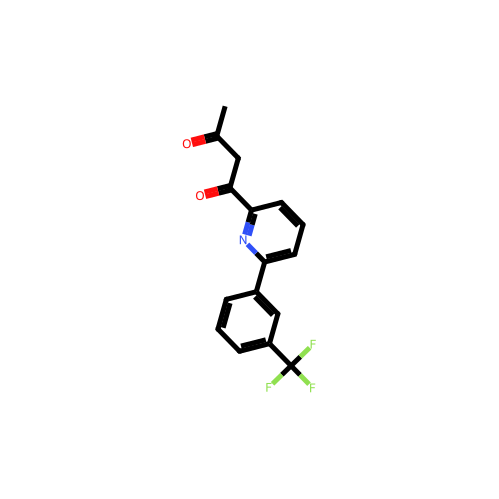 CC(=O)CC(=O)c1cccc(-c2cccc(C(F)(F)F)c2)n1